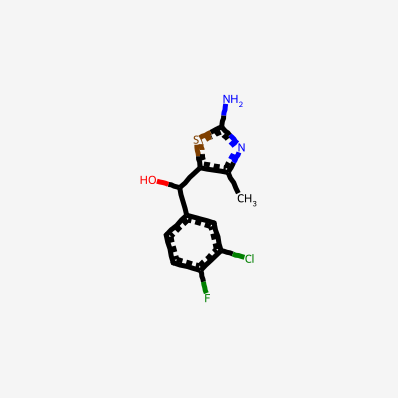 Cc1nc(N)sc1C(O)c1ccc(F)c(Cl)c1